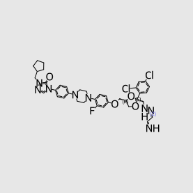 N=C/C=N\NC[C@@]1(c2ccc(Cl)cc2Cl)OC[C@@H](COc2ccc(N3CCN(c4ccc(-n5cnn(CC6CCCC6)c5=O)cc4)CC3)c(F)c2)O1